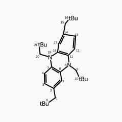 CC(C)(C)Cc1ccc2c(c1)N(CC(C)(C)C)c1ccc(CC(C)(C)C)cc1N2CC(C)(C)C